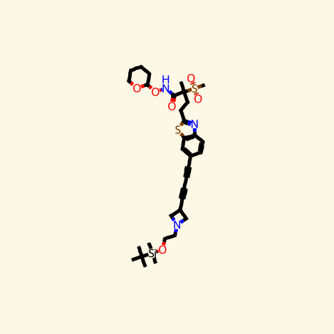 CC(C)(C)[Si](C)(C)OCCN1CC(C#CC#Cc2ccc3nc(CCC(C)(C(=O)NOC4CCCCO4)S(C)(=O)=O)sc3c2)C1